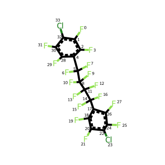 Fc1c(F)c(C(F)(F)C(F)(F)C(F)(F)C(F)(F)c2c(F)c(F)c(Cl)c(F)c2F)c(F)c(F)c1Cl